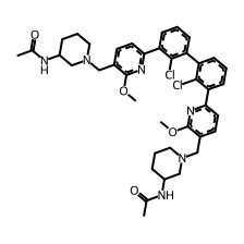 COc1nc(-c2cccc(-c3cccc(-c4ccc(CN5CCCC(NC(C)=O)C5)c(OC)n4)c3Cl)c2Cl)ccc1CN1CCCC(NC(C)=O)C1